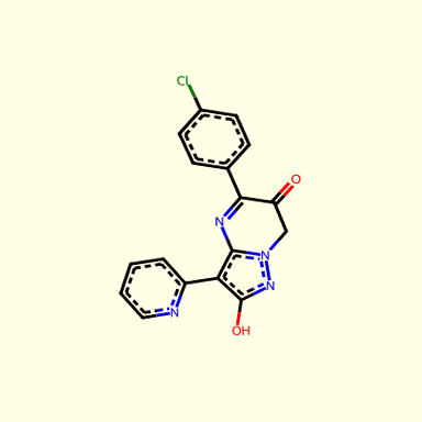 O=C1Cn2nc(O)c(-c3ccccn3)c2N=C1c1ccc(Cl)cc1